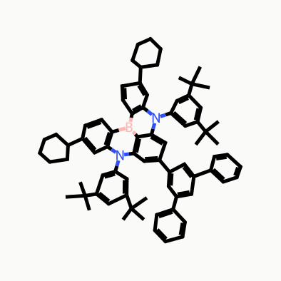 CC(C)(C)c1cc(N2c3cc(C4CCCCC4)ccc3B3c4ccc(C5CCCCC5)cc4N(c4cc(C(C)(C)C)cc(C(C)(C)C)c4)c4cc(-c5cc(-c6ccccc6)cc(-c6ccccc6)c5)cc2c43)cc(C(C)(C)C)c1